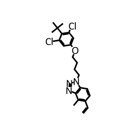 C=Cc1ccc2c(nnn2CCCCOc2cc(Cl)c(C(C)(C)C)c(Cl)c2)c1C